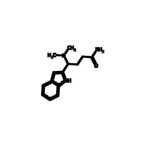 CN(C)C(CCC(N)=O)c1cc2ccccc2[nH]1